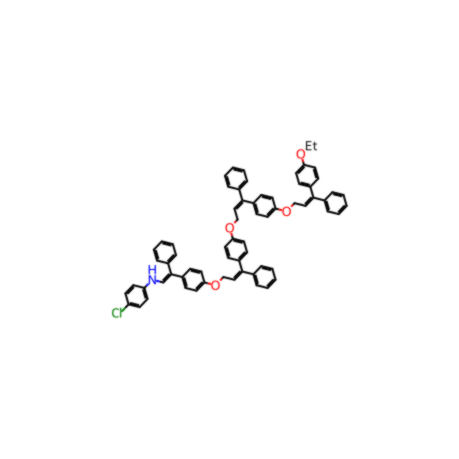 CCOc1ccc(/C(=C\COc2ccc(/C(=C\COc3ccc(/C(=C\COc4ccc(C(=CNc5ccc(Cl)cc5)c5ccccc5)cc4)c4ccccc4)cc3)c3ccccc3)cc2)c2ccccc2)cc1